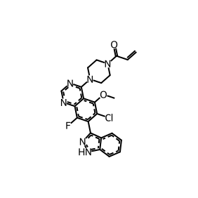 C=CC(=O)N1CCN(c2ncnc3c(F)c(-c4n[nH]c5ccccc45)c(Cl)c(OC)c23)CC1